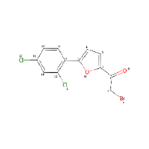 O=C(CBr)c1ccc(-c2ccc(Cl)cc2Cl)o1